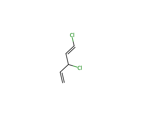 C=CC(Cl)C=CCl